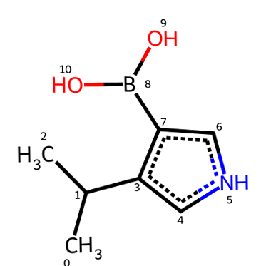 CC(C)c1c[nH]cc1B(O)O